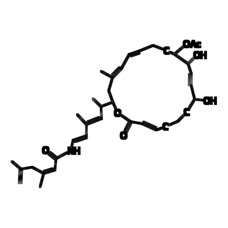 C=C(C)C/C(C)=C\C(=O)N/C=C/C(C)=C/C(C)C1C/C(C)=C/C=C/CCC(OC(C)=O)C(O)/C=C/C(O)CCC/C=C/C(=O)O1